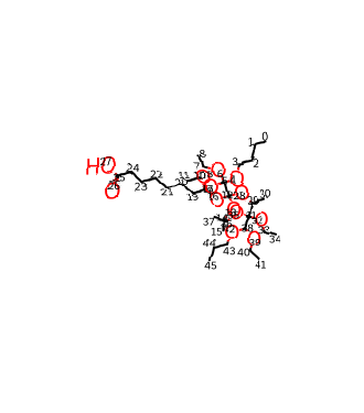 CCCCOC(OCC)(OCC)C(OCC)(OC(=O)CCCCCCC(=O)O)OC(C)C(OCC)(OCC)C(OCC)OCCC